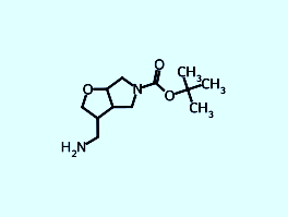 CC(C)(C)OC(=O)N1CC2OCC(CN)C2C1